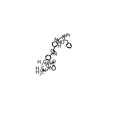 CCCN(Cc1nc2ccc(-c3cnc(-c4ccc(C)c(NC(=O)[C@@H]5CCCN5C(=O)CN(C)C)c4)o3)cc2[nH]1)C(=O)Cc1ccccc1